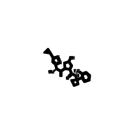 CC(C)(C)[C@@H](C(=O)N1CC(O)CC1C(=O)NC1(c2ccccc2C(F)(F)F)CCC1)n1cc(C2CC2)nn1